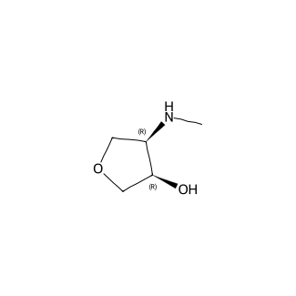 CN[C@@H]1COC[C@@H]1O